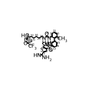 CSc1sc(C(=N)N)cc1S(=O)(=O)c1cccc(-c2c(C)cccc2NC(=O)NCCCCCP(=O)(O)OC(=O)C(F)(F)F)c1